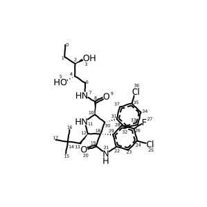 CC[C@@H](O)[C@@H](O)CNC(=O)[C@@H]1N[C@H](CC(C)(C)C)[C@]2(C(=O)Nc3cc(Cl)c(F)cc32)[C@H]1c1cccc(Cl)c1